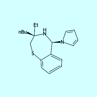 CCCC[C@]1(CC)CSc2ccccc2[C@H](n2cccc2)N1